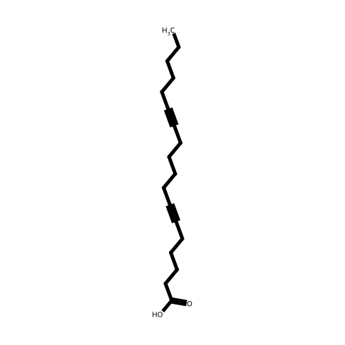 CCCCCC#CCCCCC#CCCCCC(=O)O